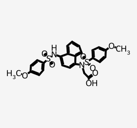 COc1ccc(S(=O)(=O)Nc2ccc(N(CC(=O)O)S(=O)(=O)c3ccc(OC)cc3)c3ccccc23)cc1